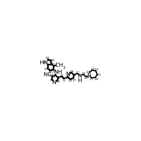 Cc1c(Nc2c(C#N)cncc2C=Cc2ccc(CNCCN3CCCCCC3)cn2)ccc2[nH]ccc12